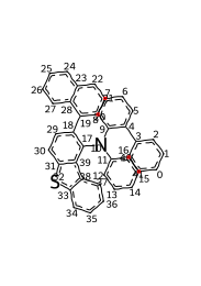 c1ccc(-c2ccccc2N(c2ccccc2)c2c(-c3cccc4ccccc34)ccc3sc4ccccc4c23)cc1